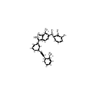 Fc1cccc(C(F)c2ccc3c(-c4cccc(C#Cc5ccccc5C(F)(F)F)c4)[nH]nc3c2C(F)(F)F)c1F